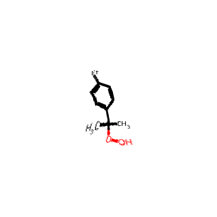 CCc1ccc(C(C)(C)OO)cc1